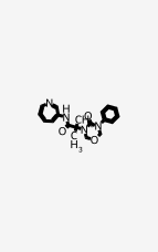 CC(C)(C(=O)NC1=CC=C=CN=C1)N1COCN(c2ccccc2)C1=O